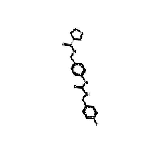 O=C(NCc1ccc(F)cc1)Nc1ccc(CNC(=O)[C@@H]2CCOC2)cc1